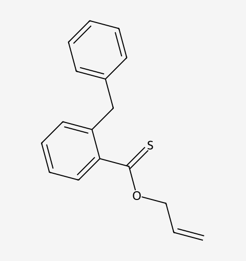 C=CCOC(=S)c1ccccc1Cc1ccccc1